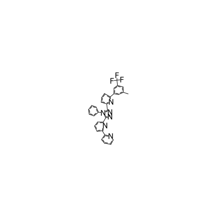 Cc1cc(-c2cccc(-c3nnc(-c4cccc(-c5ccccn5)n4)n3-c3ccccc3)n2)cc(C(F)(F)F)c1